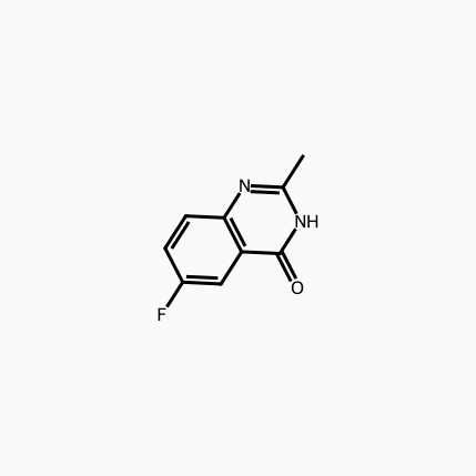 Cc1nc2ccc(F)cc2c(=O)[nH]1